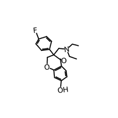 CCN(CC)CC1(c2ccc(F)cc2)COc2cc(O)ccc2C1=O